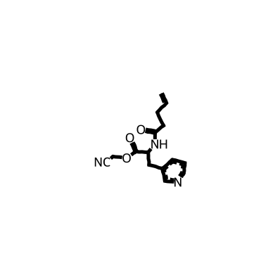 C=CCCC(=O)NC(Cc1cccnc1)C(=O)OCC#N